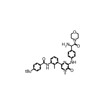 Cc1c(NC(=O)c2ccc(C(C)(C)C)cc2)cccc1-c1cn(C)c(=O)c(Nc2ccc(C(N)C(=O)N3CCOCC3)cc2)n1